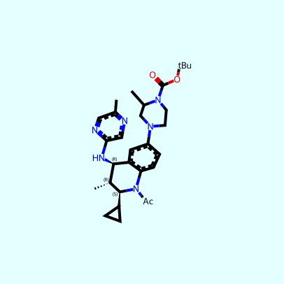 CC(=O)N1c2ccc(N3CCN(C(=O)OC(C)(C)C)C(C)C3)cc2[C@H](Nc2cnc(C)cn2)[C@@H](C)[C@@H]1C1CC1